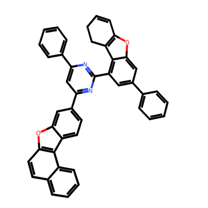 C1=Cc2oc3cc(-c4ccccc4)cc(-c4nc(-c5ccccc5)cc(-c5ccc6c(c5)oc5ccc7ccccc7c56)n4)c3c2CC1